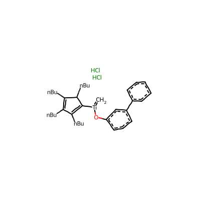 Cl.Cl.[CH2]=[Ti]([O]c1cccc(-c2ccccc2)c1)[C]1=C(CCCC)C(CCCC)=C(CCCC)C1CCCC